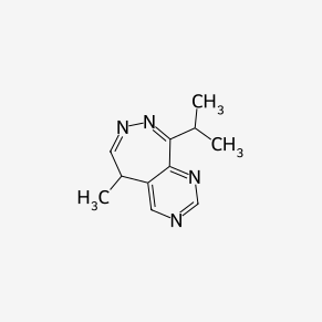 CC(C)C1=NN=CC(C)c2cncnc21